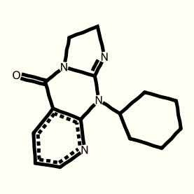 O=C1c2cccnc2N(C2CCCCC2)C2=NCCN12